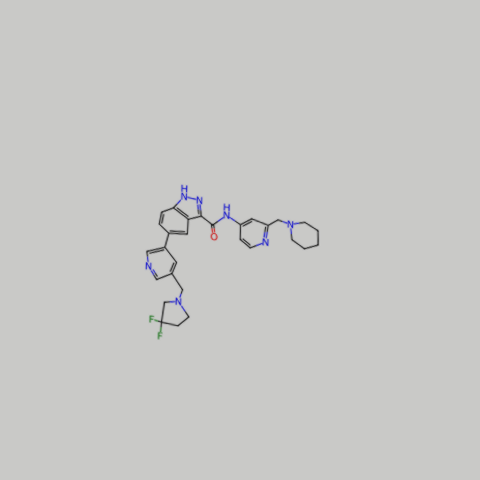 O=C(Nc1ccnc(CN2CCCCC2)c1)c1n[nH]c2ccc(-c3cncc(CN4CCC(F)(F)C4)c3)cc12